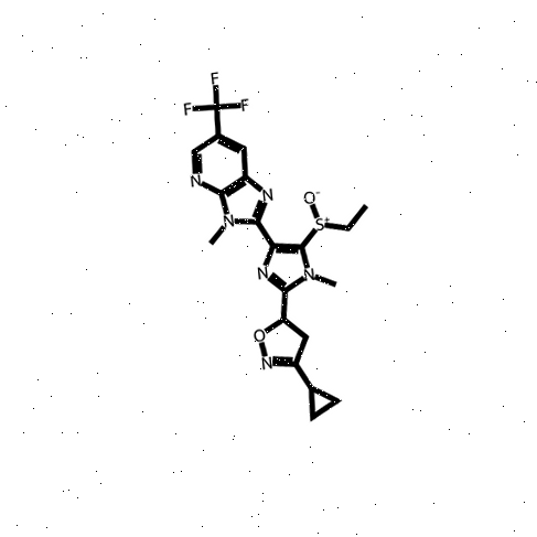 CC[S+]([O-])c1c(-c2nc3cc(C(F)(F)F)cnc3n2C)nc(C2CC(C3CC3)=NO2)n1C